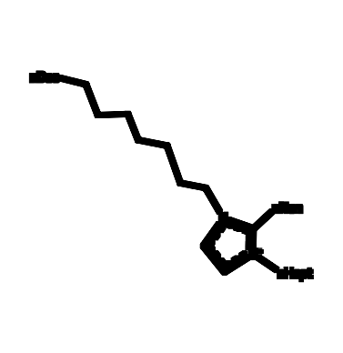 CCCCCCCCCCCCCCCCCn1cc[n+](CCCCCCC)c1CCCCCCCCC